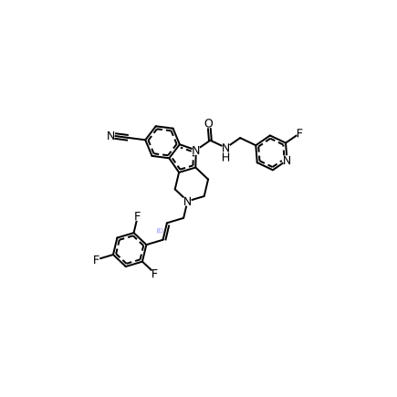 N#Cc1ccc2c(c1)c1c(n2C(=O)NCc2ccnc(F)c2)CCN(C/C=C/c2c(F)cc(F)cc2F)C1